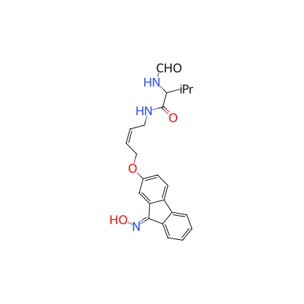 CC(C)C(NC=O)C(=O)NC/C=C\COc1ccc2c(c1)/C(=N\O)c1ccccc1-2